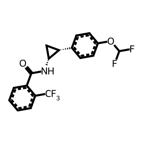 O=C(N[C@@H]1C[C@@H]1c1ccc(OC(F)F)cc1)c1ccccc1C(F)(F)F